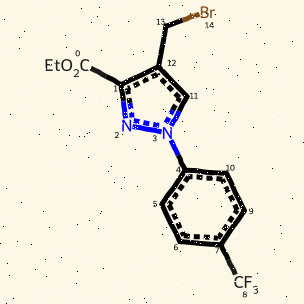 CCOC(=O)c1nn(-c2ccc(C(F)(F)F)cc2)cc1CBr